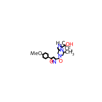 COc1ccc(-c2cc(C(=O)N3Cc4cnc([C@@](C)(O)C(F)(F)F)n4[C@@H](C)C3)no2)cc1